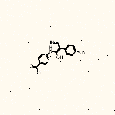 N#Cc1ccc(/C(C=N)=C(\O)Nc2ccc(C(=O)Cl)cn2)cc1